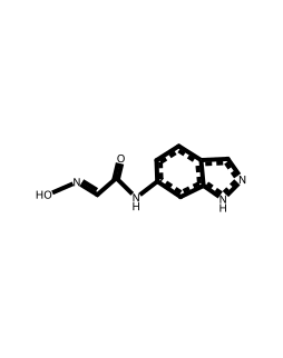 O=C(C=NO)Nc1ccc2cn[nH]c2c1